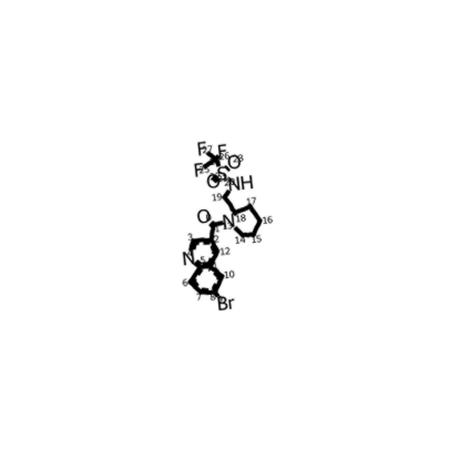 O=C(c1cnc2ccc(Br)cc2c1)N1CCCCC1CNS(=O)(=O)C(F)(F)F